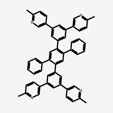 Cc1ccc(-c2cc(-c3ccc(C)nc3)cc(-c3cc(-c4ccccc4)c(-c4cc(-c5ccc(C)nc5)cc(-c5ccc(C)nc5)c4)cc3-c3ccccc3)c2)cn1